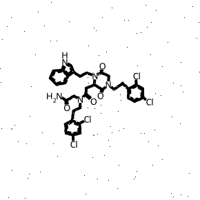 NC(=O)CN(CCc1ccc(Cl)cc1Cl)C(=O)CC1C(=O)N(CCc2ccc(Cl)cc2Cl)CC(=O)N1CCc1c[nH]c2ccccc12